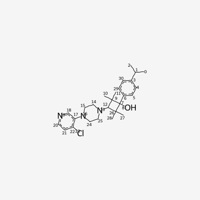 CC(C)c1ccc(C2(O)C(C)(C)C(N3CCN(c4cnccc4Cl)CC3)C2(C)C)cc1